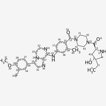 CC[C@]1(O)CN[C@H](C(=O)N2CCN(C(=O)c3ccc(Nc4nccn5c(-c6ccc(OC)c(F)c6)cnc45)cc3C)CC2)C1